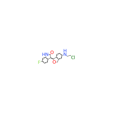 O=C1Nc2cc(F)ccc2C1=C1OCc2cc(NCCCl)ccc21